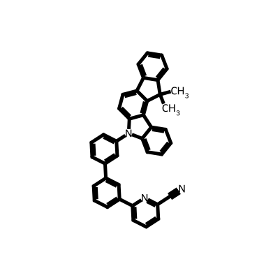 CC1(C)c2ccccc2-c2ccc3c(c21)c1ccccc1n3-c1cccc(-c2cccc(-c3cccc(C#N)n3)c2)c1